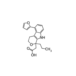 CCCC1(CC(=O)O)OCCc2c1[nH]c1cccc(-c3ccco3)c21